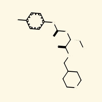 CC(C)C[C@@H](NC(=O)Nc1ccc(Cl)cc1)C(=O)NCC1CCNCC1